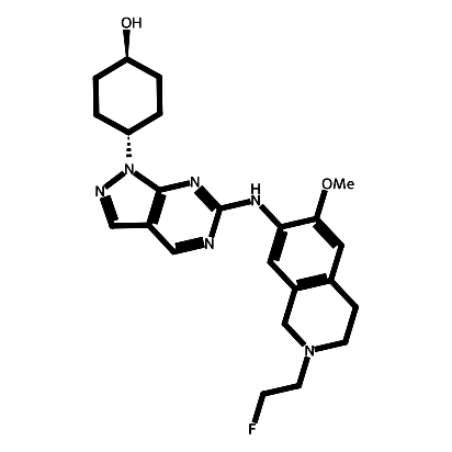 COc1cc2c(cc1Nc1ncc3cnn([C@H]4CC[C@H](O)CC4)c3n1)CN(CCF)CC2